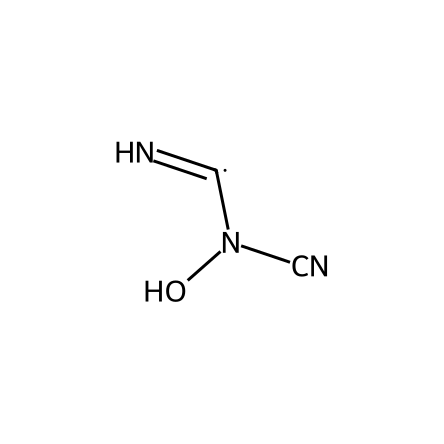 N#CN(O)[C]=N